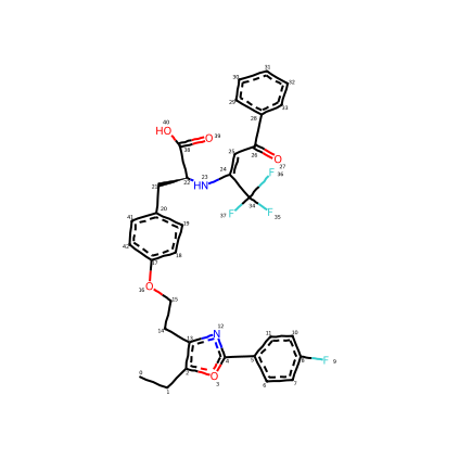 CCc1oc(-c2ccc(F)cc2)nc1CCOc1ccc(C[C@H](NC(=CC(=O)c2ccccc2)C(F)(F)F)C(=O)O)cc1